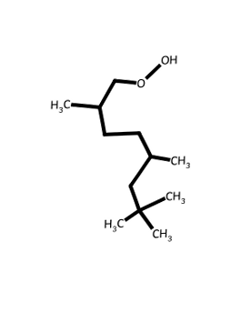 CC(CCC(C)CC(C)(C)C)COO